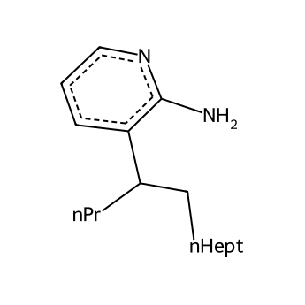 CCCCCCCCC(CCC)c1cccnc1N